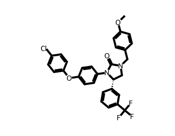 COc1ccc(CN2C[C@H](c3cccc(C(F)(F)F)c3)N(c3ccc(Oc4ccc(Cl)cc4)cc3)C2=O)cc1